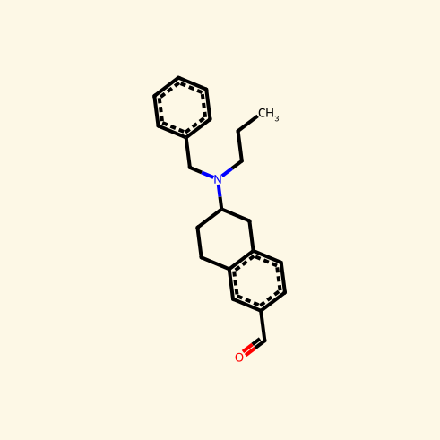 CCCN(Cc1ccccc1)C1CCc2cc(C=O)ccc2C1